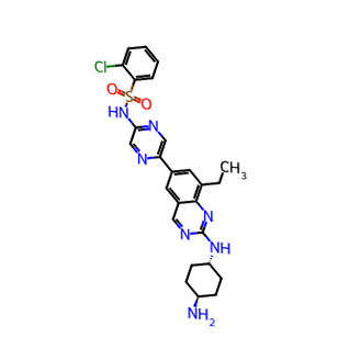 CCc1cc(-c2cnc(NS(=O)(=O)c3ccccc3Cl)cn2)cc2cnc(N[C@H]3CC[C@H](N)CC3)nc12